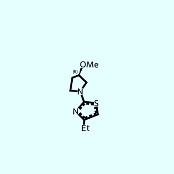 CCc1csc(N2CC[C@@H](OC)C2)n1